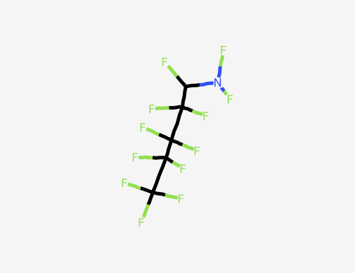 FC(N(F)F)C(F)(F)C(F)(F)C(F)(F)C(F)(F)F